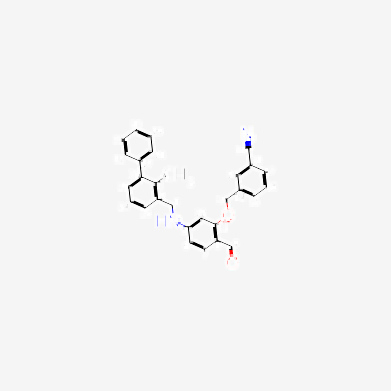 Cc1c(CNc2ccc(C=O)c(OCc3cccc(C#N)c3)c2)cccc1-c1ccccc1